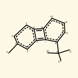 Cc1ccc2c(c1)=c1c(C(C)(C)C)cccc1=2